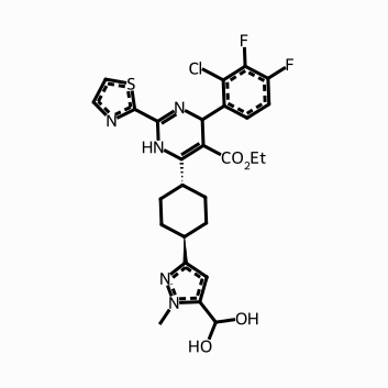 CCOC(=O)C1=C([C@H]2CC[C@H](c3cc(C(O)O)n(C)n3)CC2)NC(c2nccs2)=NC1c1ccc(F)c(F)c1Cl